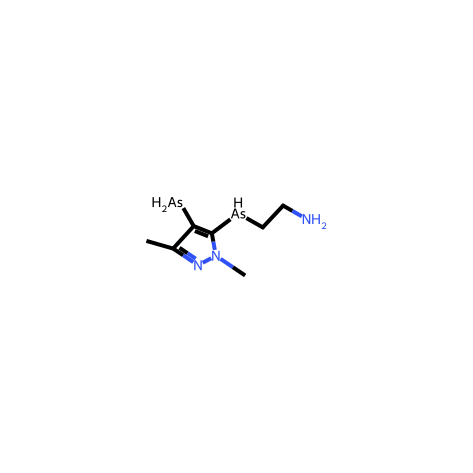 Cc1nn(C)c([AsH]CCN)c1[AsH2]